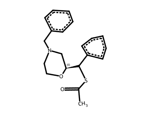 CC(=O)SC(c1ccccc1)[C@@H]1CN(Cc2ccccc2)CCO1